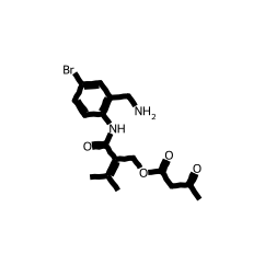 CC(=O)CC(=O)OCC(C(=O)Nc1ccc(Br)cc1CN)=C(C)C